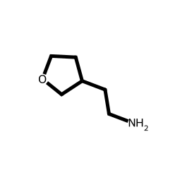 NCCC1CCOC1